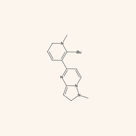 CCC(C)C1=C(C2=NC3=CCN(C)N3C=C2)C=CCN1C